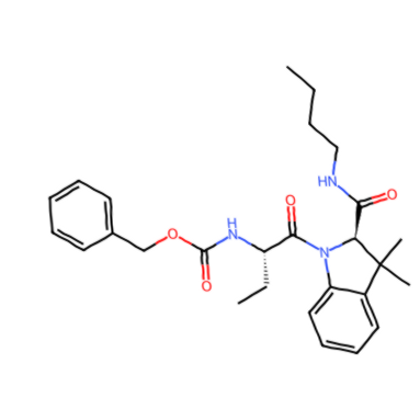 CCCCNC(=O)[C@@H]1N(C(=O)[C@H](CC)NC(=O)OCc2ccccc2)c2ccccc2C1(C)C